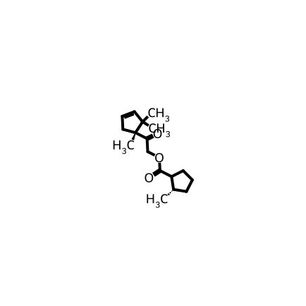 C[C@H]1CCCC1C(=O)OCC(=O)[C@]1(C)CC=CC1(C)C